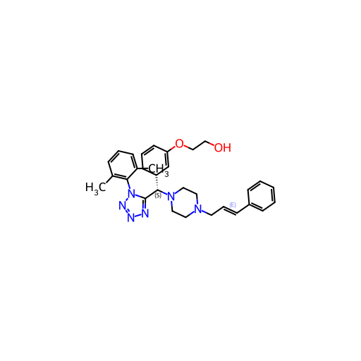 Cc1cccc(C)c1-n1nnnc1[C@H](C1C=C(OCCO)C=CC1)N1CCN(C/C=C/c2ccccc2)CC1